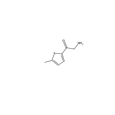 Cc1ccc(C(=O)CN)s1